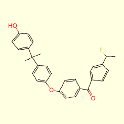 CC(F)c1ccc(C(=O)c2ccc(Oc3ccc(C(C)(C)c4ccc(O)cc4)cc3)cc2)cc1